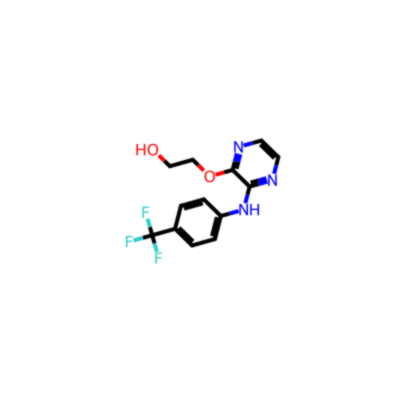 OCCOc1nccnc1Nc1ccc(C(F)(F)F)cc1